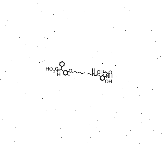 Cc1ccc(C(NC(=O)O)c2ccccc2)cc1OCCCCCCCCCNC[C@H](O)c1ccc(O)c2[nH]c(=O)ccc12